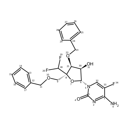 Nc1nc(=O)n([C@@H]2O[C@@](COCc3ccccc3)(C(F)F)[C@@H](OCc3ccccc3)[C@H]2O)cc1F